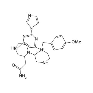 COc1ccc(C[N+]2(c3cc(Cl)nc(-n4ccnc4)n3)CCNCC2N2CCNCC2CC(N)=O)cc1